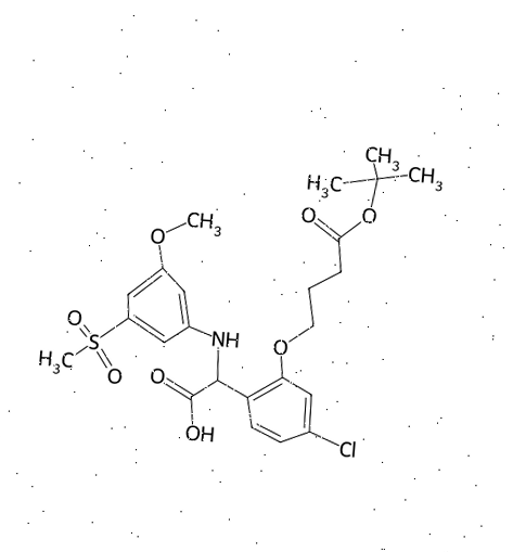 COc1cc(NC(C(=O)O)c2ccc(Cl)cc2OCCCC(=O)OC(C)(C)C)cc(S(C)(=O)=O)c1